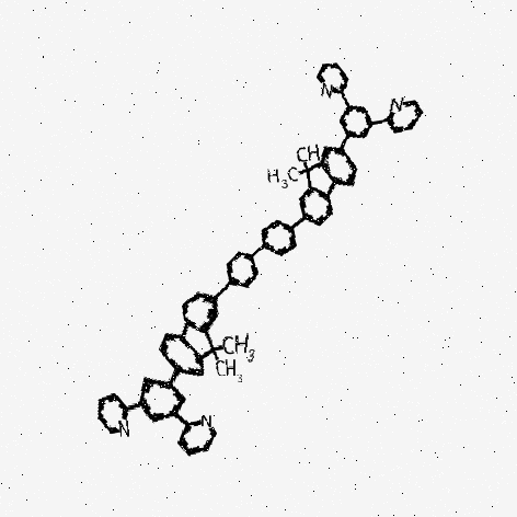 CC1(C)c2cc(-c3ccc(-c4ccc(-c5ccc6c(c5)C(C)(C)c5cc(-c7cc(-c8ccccn8)cc(-c8ccccn8)c7)ccc5-6)cc4)cc3)ccc2-c2ccc(-c3cc(-c4ccccn4)cc(-c4ccccn4)c3)cc21